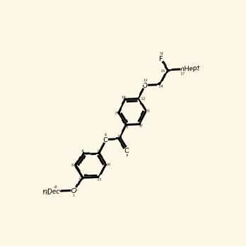 CCCCCCCCCCOc1ccc(OC(=O)c2ccc(OCC(F)CCCCCCC)cc2)cc1